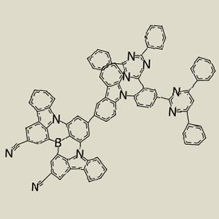 N#Cc1cc2c3c(c1)c1ccccc1n3-c1cc(-c3ccc4c(c3)c3ccccc3n4-c3ccc(-c4nc(-c5ccccc5)cc(-c5ccccc5)n4)cc3-c3nc(-c4ccccc4)nc(-c4ccccc4)n3)cc3c1B2c1cc(C#N)cc2c4ccccc4n-3c12